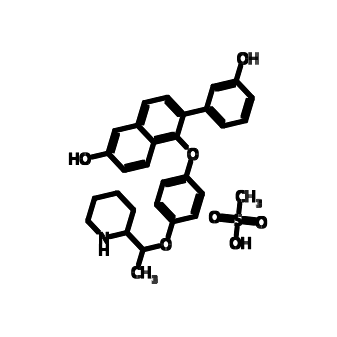 CC(Oc1ccc(Oc2c(-c3cccc(O)c3)ccc3cc(O)ccc23)cc1)C1CCCCN1.CS(=O)(=O)O